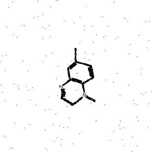 Cc1ccc2c(c1)N=CCN2C